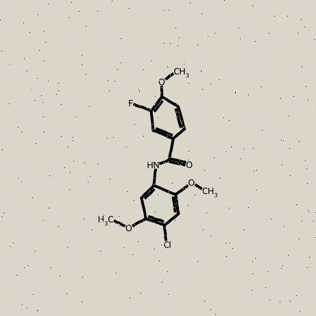 COc1ccc(C(=O)Nc2cc(OC)c(Cl)cc2OC)cc1F